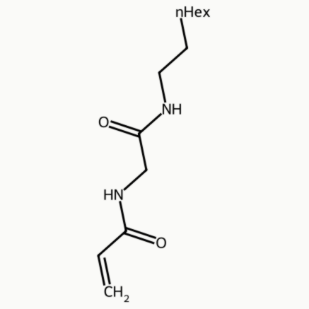 C=CC(=O)NCC(=O)NCCCCCCCC